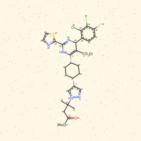 CCOC(=O)C1=C([C@H]2CC[C@@H](c3cnn(C(C)(C)CC(=O)OC)c3)CC2)NC(c2nccs2)=NC1c1ccc(F)c(F)c1Cl